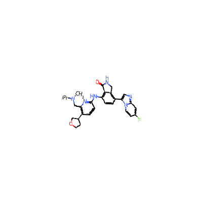 CC(C)N(C)Cc1nc(Nc2ccc(-c3cnc4cc(F)ccn34)c3c2C(=O)NC3)ccc1[C@H]1CCOC1